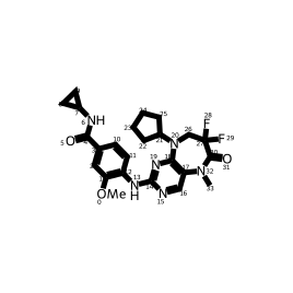 COc1cc(C(=O)NC2CC2)ccc1Nc1ncc2c(n1)N(C1CCCC1)CC(F)(F)C(=O)N2C